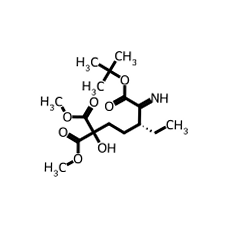 CC[C@H](CCC(O)(C(=O)OC)C(=O)OC)C(=N)C(=O)OC(C)(C)C